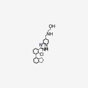 N=C(/N=c1/cc(CNCCO)cc[nH]1)c1cccc(-c2cccc3c2CCC3)c1Cl